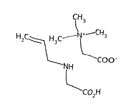 C=CCNCC(=O)O.C[N+](C)(C)CC(=O)[O-]